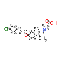 CC1=C(CN2CC(C(=O)O)C2)CCc2cc(OCCCc3ccc(Cl)cc3)ccc21